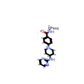 CCCCCNC(=O)c1ccc(N2CCC(Nc3ncccn3)CC2)cc1